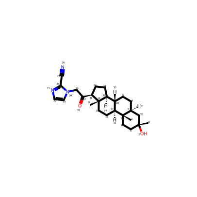 C[C@@]1(O)CC[C@@]2(C)[C@@H](CC[C@@H]3[C@@H]2CC[C@]2(C)[C@@H](C(=O)Cn4ccnc4C#N)CC[C@@H]32)C1